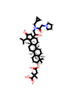 CC(C)C1=C2[C@H]3CC[C@@H]4[C@@]5(C)CC[C@H](OC(=O)CC(C)(C)C(=O)O)C(C)(C)[C@@H]5CC[C@@]4(C)[C@]3(C)CCC2(C(O)CN(CC2CC2)C(=O)CN2CCCC2)CC1=O